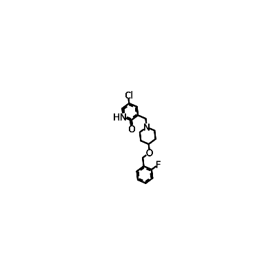 O=c1[nH]cc(Cl)cc1CN1CCC(OCc2ccccc2F)CC1